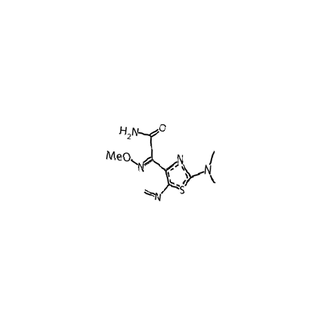 C=Nc1sc(N(C)C)nc1C(=NOC)C(N)=O